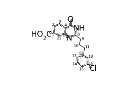 O=C(O)c1ccc2c(=O)[nH]c(CCCc3cccc(Cl)c3)nc2c1